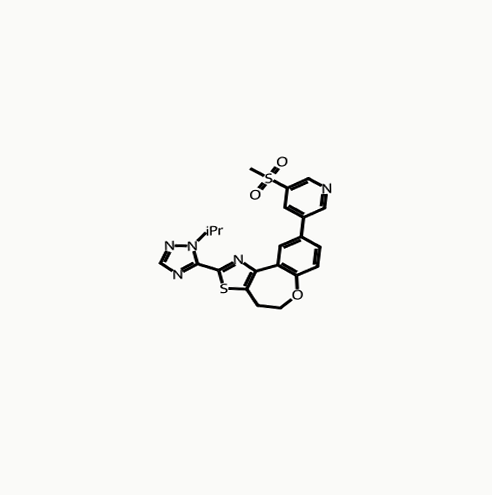 CC(C)n1ncnc1-c1nc2c(s1)CCOc1ccc(-c3cncc(S(C)(=O)=O)c3)cc1-2